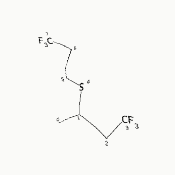 CC(CC(F)(F)F)SCCC(F)(F)F